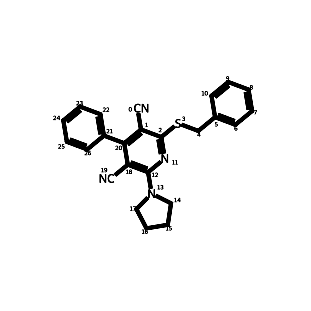 N#Cc1c(SCc2ccccc2)nc(N2CCCC2)c(C#N)c1-c1ccccc1